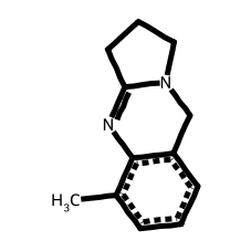 Cc1cccc2c1N=C1CCCN1C2